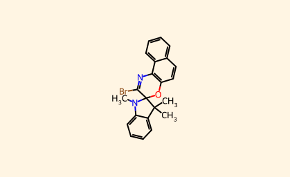 CN1c2ccccc2C(C)(C)C12Oc1ccc3ccccc3c1N=C2Br